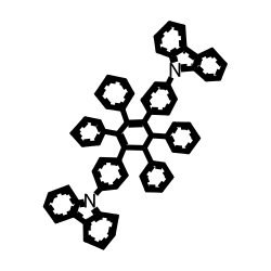 c1ccc(C2=C(c3ccc(-n4c5ccccc5c5ccccc54)cc3)C(c3ccccc3)C(c3ccccc3)C(c3ccc(-n4c5ccccc5c5ccccc54)cc3)=C2c2ccccc2)cc1